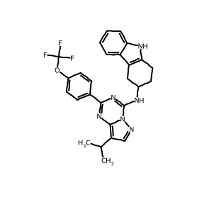 CC(C)c1cnn2c(NC3CCc4[nH]c5ccccc5c4C3)nc(-c3ccc(OC(F)(F)F)cc3)nc12